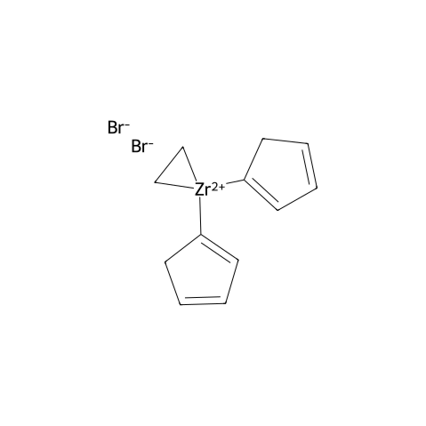 C1=CC[C]([Zr+2]2([C]3=CC=CC3)[CH2][CH2]2)=C1.[Br-].[Br-]